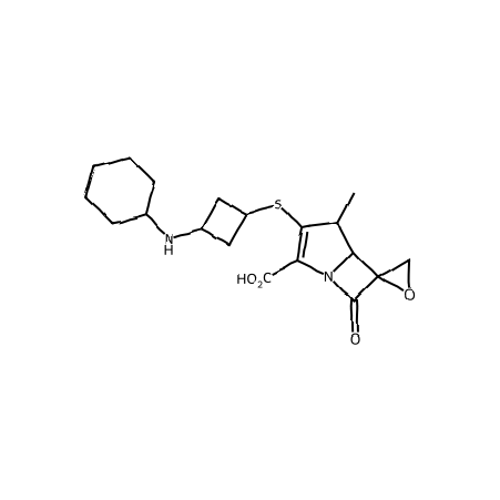 CC1C(SC2CC(NC3CCCCC3)C2)=C(C(=O)O)N2C(=O)C3(CO3)C12